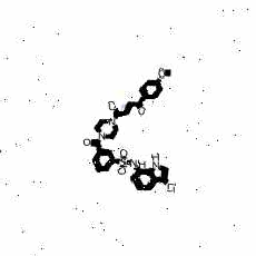 COc1ccc(C(=O)/C=C/C(=O)N2CCN(C(=O)c3cccc(S(=O)(=O)Nc4cccc5c(Cl)c[nH]c45)c3)CC2)cc1